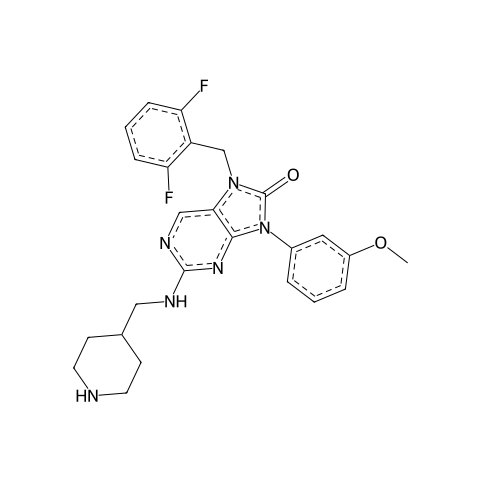 COc1cccc(-n2c(=O)n(Cc3c(F)cccc3F)c3cnc(NCC4CCNCC4)nc32)c1